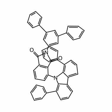 O=C1c2cccc(-n3c4c(-c5ccccc5)cccc4c4cccc(-c5ccccc5)c43)c2C(=O)N1c1cc(-c2ccccc2)cc(-c2ccccc2)c1